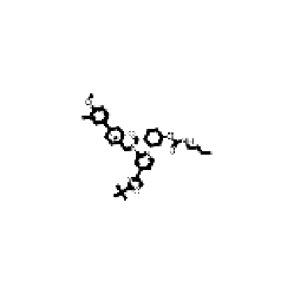 CCCCNC(=O)O[C@H]1CC[C@H](C(=O)N(CC23CCC(c4ccc(OC)c(C)c4)(CC2)CC3)c2cc(-c3coc(C(C)(C)C)n3)ccn2)CC1